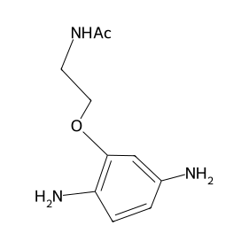 CC(=O)NCCOc1cc(N)ccc1N